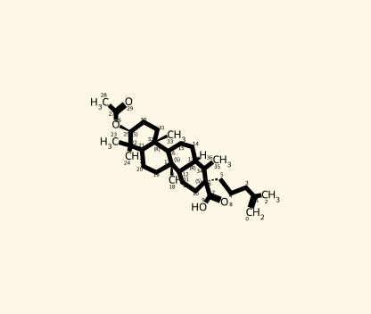 C=C(C)CCC[C@]1(C(=O)O)CCC2[C@H](CCC3[C@@]2(C)CCC2C(C)(C)[C@@H](OC(C)=O)CC[C@@]23C)C1C